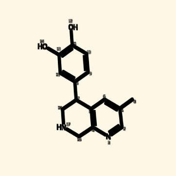 Cc1cnc2c(c1)C(c1ccc(O)c(O)c1)CNC2